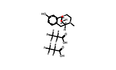 CN1CC[C@]23CCCC[C@H]2[C@H]1Cc1ccc(O)cc13.O=C(O)C(F)(F)C(F)(F)F.O=C(O)C(F)(F)C(F)(F)F